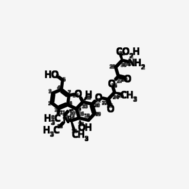 Cc1ccc(CO)c2c1[C@]13CCN(C)[C@H](C)[C@]1(O)CC=C(OC(=O)[C@H](C)OC(=O)C[C@H](N)C(=O)O)[C@@H]3O2